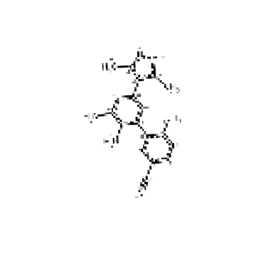 Cc1ccc(C#N)cc1-c1cc(-c2c(C)noc2C)cc(N)c1N